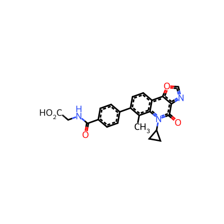 Cc1c(-c2ccc(C(=O)NCC(=O)O)cc2)ccc2c3ocnc3c(=O)n(C3CC3)c12